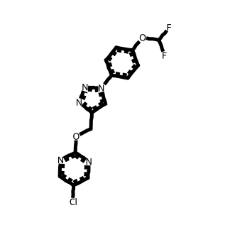 FC(F)Oc1ccc(-n2cc(COc3ncc(Cl)cn3)nn2)cc1